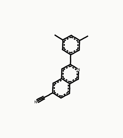 Cc1cc(C)cc(-c2cc3cc(C#N)ccc3cn2)c1